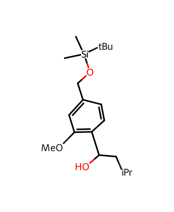 COc1cc(CO[Si](C)(C)C(C)(C)C)ccc1C(O)CC(C)C